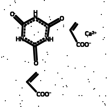 C=CC(=O)[O-].C=CC(=O)[O-].O=c1[nH]c(=O)[nH]c(=O)[nH]1.[Ca+2]